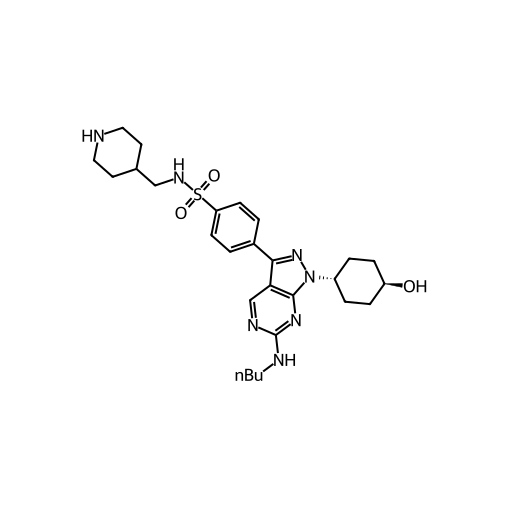 CCCCNc1ncc2c(-c3ccc(S(=O)(=O)NCC4CCNCC4)cc3)nn([C@H]3CC[C@H](O)CC3)c2n1